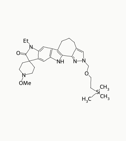 CCN1C(=O)C2(CCN(OC)CC2)c2cc3[nH]c4c(c3cc21)CCCc1cn(COCC[Si](C)(C)C)nc1-4